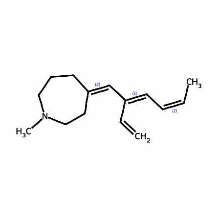 C=CC(/C=C1/CCCN(C)CC1)=C\C=C/C